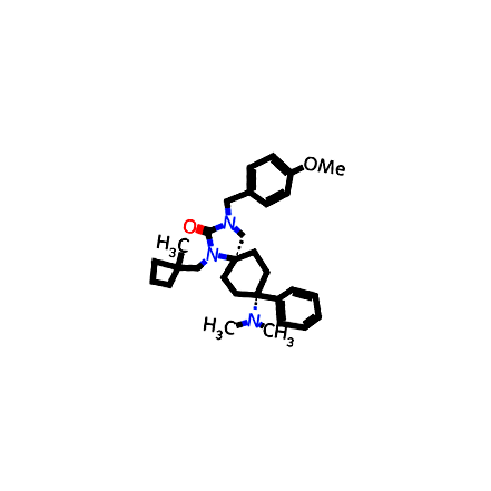 COc1ccc(CN2C[C@]3(CC[C@@](c4ccccc4)(N(C)C)CC3)N(CC3(C)CCC3)C2=O)cc1